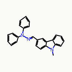 Cn1c2ccccc2c2cc(/C=N/N(c3ccccc3)c3ccccc3)ccc21